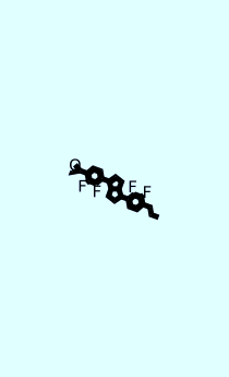 CCCc1ccc(C2CCC3C(c4ccc(C5CO5)c(F)c4F)=CCC32)c(F)c1F